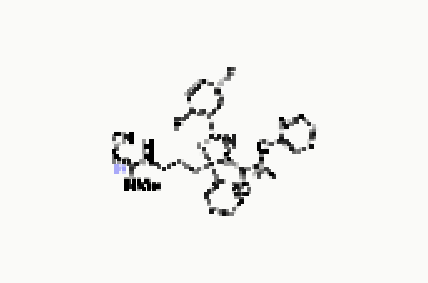 CN/C(=N/C#N)NCCCC1(c2ccccc2)SC(c2cc(F)ccc2F)=NN1C(=O)[C@H](C)Oc1ccccn1